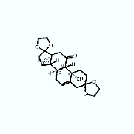 C[C@]12CCC3(CC1=CC[C@@H]1[C@@H]2C(=O)C[C@@]2(C)[C@H]1CCC21OCCO1)OCCO3